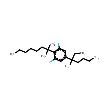 CCCCCCC(C)(C)c1c(F)cc(C(C)(CC)CCCC)cc1F